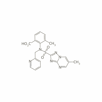 Cc1cnc2nc(S(=O)(=O)N(Cc3ccccn3)c3c(C)cccc3C(=O)O)nn2c1